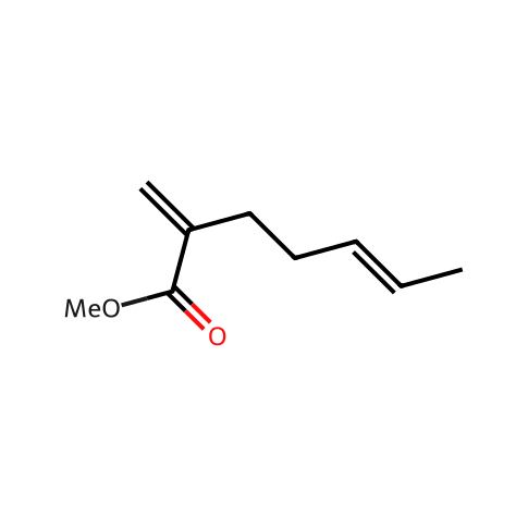 C=C(CC/C=C/C)C(=O)OC